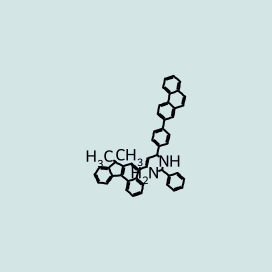 CC1(C)c2ccccc2-c2c1cc(/C=C/C(NC(N)c1ccccc1)c1ccc(-c3ccc4c(ccc5ccccc54)c3)cc1)c1ccccc21